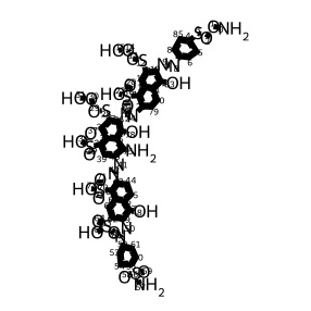 NOOSc1ccc(N=Nc2c(SOOO)cc3c(S(=O)(=O)O)c(N=Nc4c(SOOO)cc5c(S(=O)(=O)O)cc(N=Nc6ccc7c(O)c(N=Nc8ccc(S(N)(=O)=O)cc8)c(S(=O)(=O)O)cc7c6S(=O)(=O)O)c(N)c5c4O)ccc3c2O)cc1